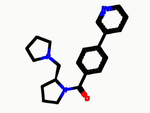 O=C(c1ccc(-c2cccnc2)cc1)N1CCC[C@H]1CN1CCCC1